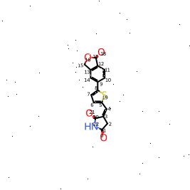 O=C1C/C(=C/c2ccc(-c3ccc4c(c3)COC4=O)s2)C(=O)N1